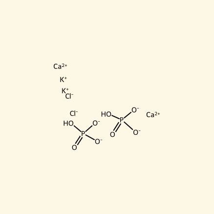 O=P([O-])([O-])O.O=P([O-])([O-])O.[Ca+2].[Ca+2].[Cl-].[Cl-].[K+].[K+]